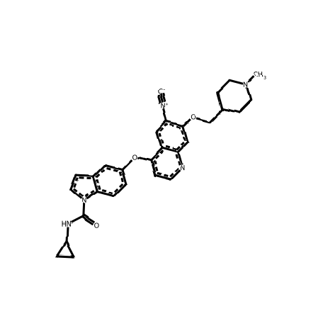 [C-]#[N+]c1cc2c(Oc3ccc4c(ccn4C(=O)NC4CC4)c3)ccnc2cc1OCC1CCN(C)CC1